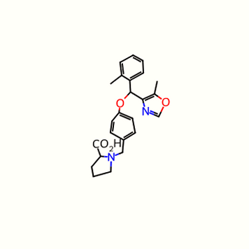 Cc1ccccc1C(Oc1ccc(CN2CCCC2C(=O)O)cc1)c1ncoc1C